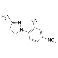 N#Cc1cc([N+](=O)[O-])ccc1N1CCC(N)=N1